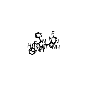 CCOC(=O)[C@@H]1C2CCC(CC2)[C@H]1Nc1nc(-c2c[nH]c3ncc(F)nc23)nc(-c2cccs2)c1F